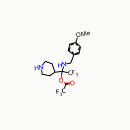 COc1ccc(CNC(OC(=O)C(F)(F)F)(C2CCNCC2)C(F)(F)F)cc1